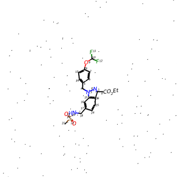 CCOC(=O)c1nn(Cc2ccc(OC(F)F)cc2)c2cc(CNS(C)(=O)=O)ccc12